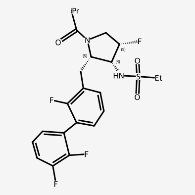 CCS(=O)(=O)N[C@H]1[C@@H](F)CN(C(=O)C(C)C)[C@H]1Cc1cccc(-c2cccc(F)c2F)c1F